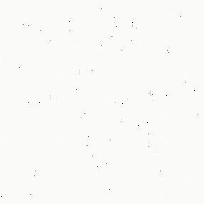 C=Cc1ccc(C=C)cc1.OCC(O)CO